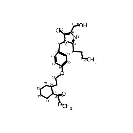 CCCCc1nc(CO)c(Cl)n1Cc1ccc(OCCC2CCCCC2C(=O)OC)cc1